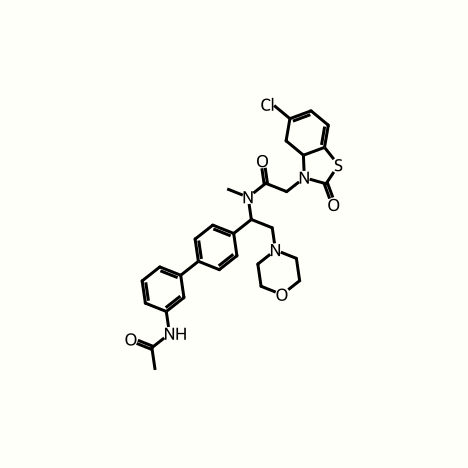 CC(=O)Nc1cccc(-c2ccc(C(CN3CCOCC3)N(C)C(=O)CN3C(=O)SC4=CC=C(Cl)CC43)cc2)c1